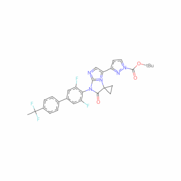 CC(C)(C)OC(=O)n1ccc(-c2cnc3n2C2(CC2)C(=O)N3c2c(F)cc(-c3ccc(C(C)(F)F)cc3)cc2F)n1